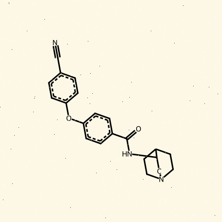 N#Cc1ccc(Oc2ccc(C(=O)NC3CN4CCC3CC4)cc2)cc1